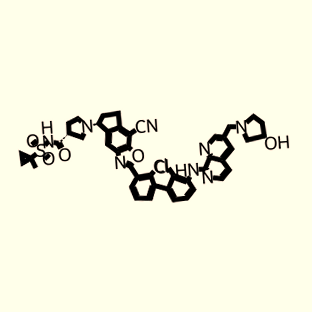 CC1(S(=O)(=O)NC(=O)[C@@H]2CCN([C@@H]3CCc4c3cc3nc(-c5cccc(-c6cccc(Nc7nccc8cc(CN9CC[C@@H](O)C9)cnc78)c6Cl)c5Cl)oc3c4C#N)C2)CC1